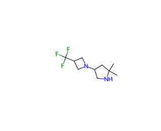 CC1(C)CC(N2CC(C(F)(F)F)C2)CN1